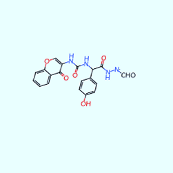 O=C[N]NC(=O)C(NC(=O)Nc1coc2ccccc2c1=O)c1ccc(O)cc1